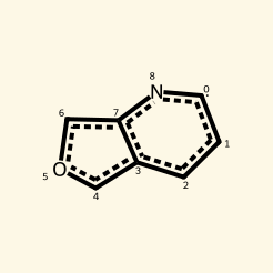 [c]1ccc2cocc2n1